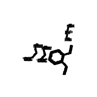 C=Cc1ccccc1C=C.CCCCCCCCCCCC(=O)[O-].CCCCCCCCCCCC(=O)[O-].CCC[CH2][Sn+2][CH2]CCC